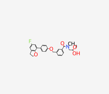 CN(CC(=O)O)C(=O)c1cccc(COc2ccc(-c3cc(F)cc4c3OCC4)cc2)c1